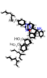 CCCCC(C)CC.CCCCC(C)CC.CCCCC(C)CC.NC(c1ccccc1)(c1ccccc1)c1ccccc1-c1ncncn1.O=C(O)c1ccccc1.O=C(O)c1ccccc1.O=C(O)c1ccccc1